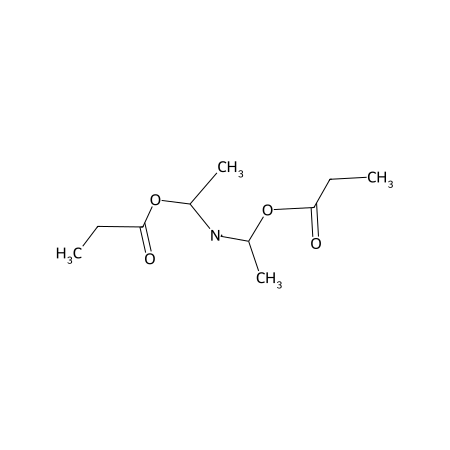 CCC(=O)OC(C)[N]C(C)OC(=O)CC